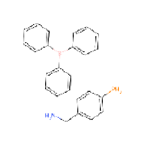 NCc1ccc(P)cc1.c1ccc(B(c2ccccc2)c2ccccc2)cc1